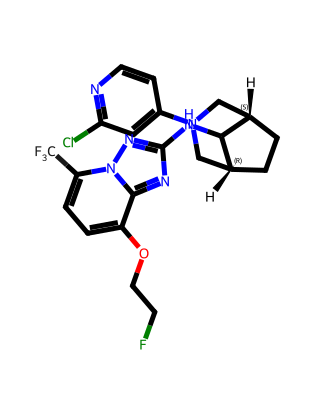 FCCOc1ccc(C(F)(F)F)n2nc(NC3[C@@H]4CC[C@H]3CN(c3ccnc(Cl)c3)C4)nc12